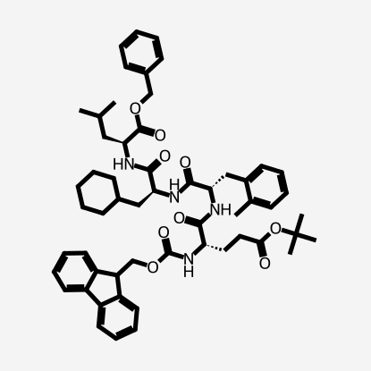 Cc1ccccc1C[C@H](NC(=O)[C@H](CCC(=O)OC(C)(C)C)NC(=O)OCC1c2ccccc2-c2ccccc21)C(=O)N[C@@H](CC1CCCCC1)C(=O)N[C@@H](CC(C)C)C(=O)OCc1ccccc1